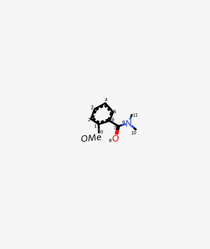 COc1c[c]ccc1C(=O)N(C)C